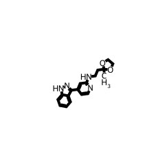 CC1(CCNc2cc(-c3n[nH]c4ccccc34)ccn2)OCCO1